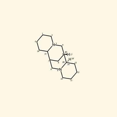 C1CCN2C[C@H]3CC(CN4CCCC[C@H]34)C2C1